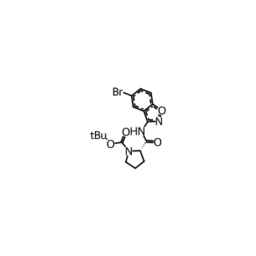 CC(C)(C)OC(=O)N1CCC[C@H]1C(=O)Nc1noc2ccc(Br)cc12